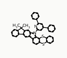 CC1(C)c2ccccc2-c2cc3c4ccc5c(c4n(-c4cc(-c6ccccc6)cc(-c6ccccc6)n4)c3cc21)Sc1ccccc1S5